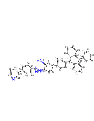 N=C1C=C(c2ccc(-c3c4ccccc4c(-c4ccccc4)c4ccccc34)cc2)C=C/C1=N/Nc1ccc(-c2cccnc2)cc1